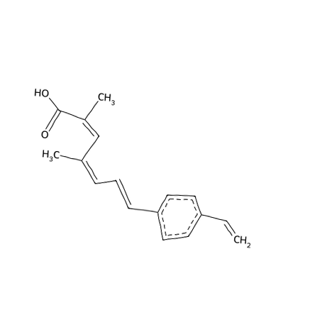 C=Cc1ccc(C=CC=C(C)C=C(C)C(=O)O)cc1